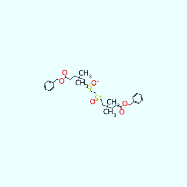 CC(C)(CCC(=O)OCc1ccccc1)CC[S+]([O-])CC[S+]([O-])CCC(C)(C)CCC(=O)OCc1ccccc1